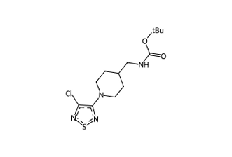 CC(C)(C)OC(=O)NCC1CCN(c2nsnc2Cl)CC1